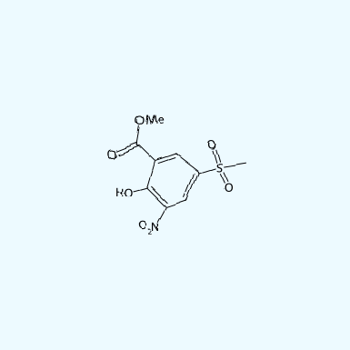 COC(=O)c1cc(S(C)(=O)=O)cc([N+](=O)[O-])c1O